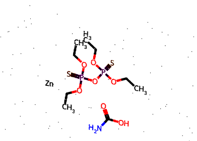 CCOP(=S)(OCC)OP(=S)(OCC)OCC.NC(=O)O.[Zn]